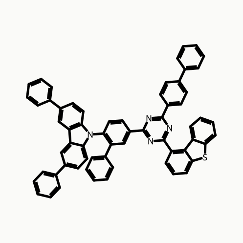 c1ccc(-c2ccc(-c3nc(-c4ccc(-n5c6ccc(-c7ccccc7)cc6c6cc(-c7ccccc7)ccc65)c(-c5ccccc5)c4)nc(-c4cccc5sc6ccccc6c45)n3)cc2)cc1